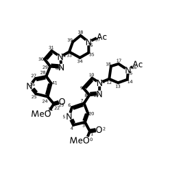 COC(=O)c1cncc(-c2ccn(C3CCN(C(C)=O)CC3)n2)c1.COC(=O)c1cncc(-c2ccn(C3CCN(C(C)=O)CC3)n2)c1